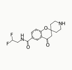 O=C(NCC(F)F)c1ccc2c(c1)C(=O)CC1(CCNCC1)O2